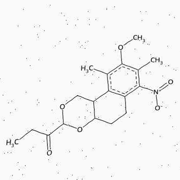 CCC(=O)C1OCC2c3c(C)c(OC)c(C)c([N+](=O)[O-])c3CCC2O1